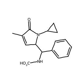 CC1=CC(C(NC(=O)O)c2ccccc2)N(C2CC2)C1=O